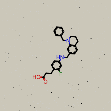 O=C(O)CCc1ccc(NCc2ccc3c(c2)N(Cc2ccccc2)CCC3)cc1F